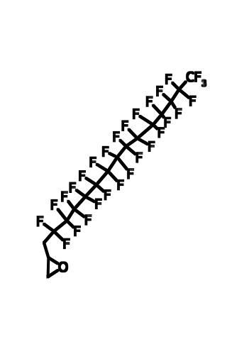 FC(F)(F)C(F)(F)C(F)(F)C(F)(F)C(F)(F)C(F)(F)C(F)(F)C(F)(F)C(F)(F)C(F)(F)C(F)(F)C(F)(F)C(F)(F)C(F)(F)CC1CO1